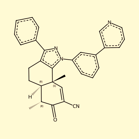 C[C@H]1C(=O)C(C#N)=C[C@@]2(C)c3c(c(-c4ccccc4)nn3-c3cccc(-c4cccnc4)c3)CC[C@H]12